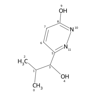 CC(C)C(O)c1ccc(O)nn1